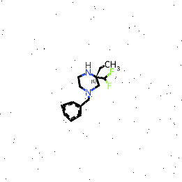 CC[C@@]1(C(F)F)CN(Cc2ccccc2)CCN1